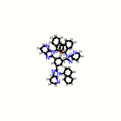 c1ccc2c(-n3c(-c4cc(-c5nc6cccnc6n5-c5cccc6ccccc56)cc(-c5nc6cccnc6n5-c5cccc6ccccc56)c4)nc4cccnc43)cccc2c1